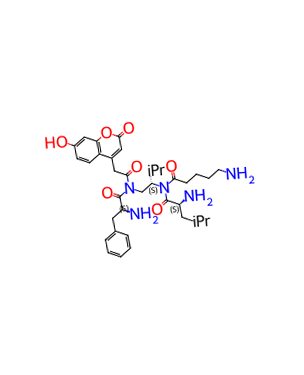 CC(C)C[C@H](N)C(=O)N(C(=O)CCCCN)[C@H](CN(C(=O)Cc1cc(=O)oc2cc(O)ccc12)C(=O)[C@@H](N)Cc1ccccc1)C(C)C